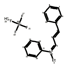 CC[N+](=CC=Cc1ccccc1)c1ccccc1.F[B-](F)(F)F.[H+]